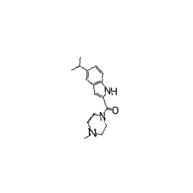 CC(C)c1ccc2[nH]c(C(=O)N3CCN(C)CC3)cc2c1